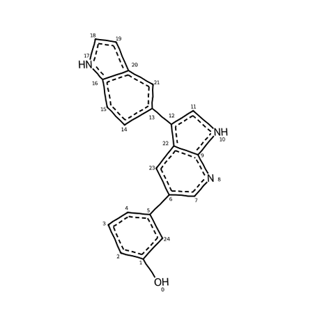 Oc1cccc(-c2cnc3[nH]cc(-c4ccc5[nH]ccc5c4)c3c2)c1